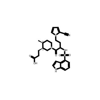 C[C@H]1CCN(C(=O)C(CCn2cccc2C#N)NS(=O)(=O)c2cccc3[nH]ccc23)C[C@H]1CCC(=O)O